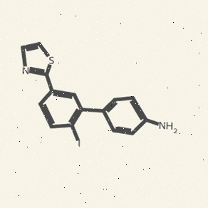 Nc1ccc(-c2cc(-c3nccs3)ccc2I)cc1